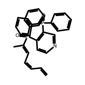 C=C/C=C\C=C(/C)P(=O)(c1ccccc1)c1ccncc1P(=O)(c1ccccc1)c1ccccc1